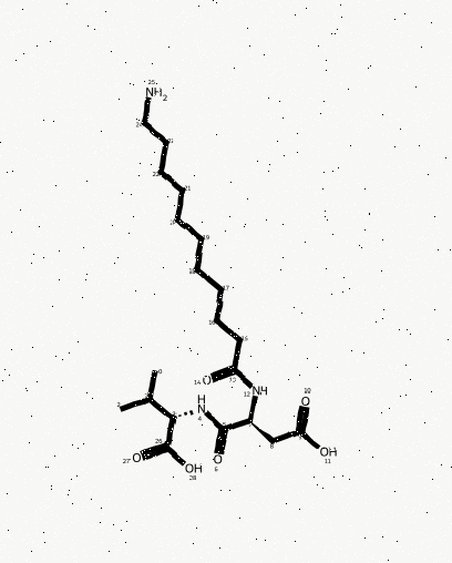 CC(C)[C@H](NC(=O)[C@H](CC(=O)O)NC(=O)CCCCCCCCCCN)C(=O)O